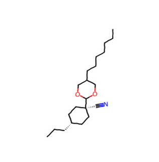 CCCCCCCC1COC([C@]2(C#N)CC[C@@H](CCC)CC2)OC1